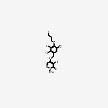 CC(C)(C)n1ncc(OCc2cc(Cl)c(OCCCF)c(Cl)c2Cl)c(Cl)c1=O